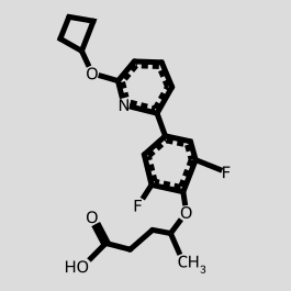 CC(CCC(=O)O)Oc1c(F)cc(-c2cccc(OC3CCC3)n2)cc1F